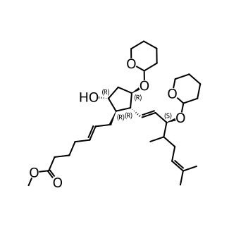 COC(=O)CCCC=CC[C@@H]1[C@@H](C=C[C@@H](OC2CCCCO2)C(C)CC=C(C)C)[C@H](OC2CCCCO2)C[C@H]1O